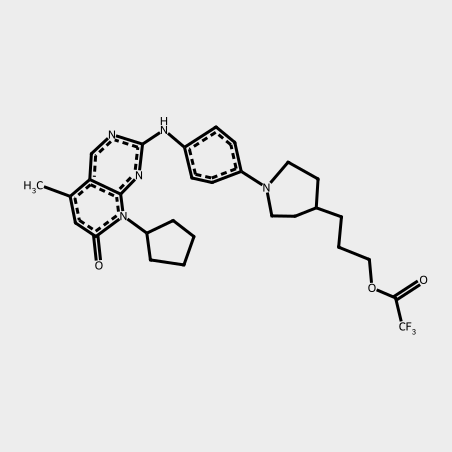 Cc1cc(=O)n(C2CCCC2)c2nc(Nc3ccc(N4CCC(CCCOC(=O)C(F)(F)F)CC4)cc3)ncc12